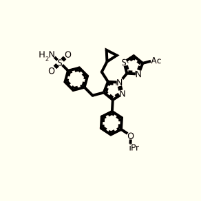 CC(=O)c1csc(-n2nc(-c3cccc(OC(C)C)c3)c(Cc3ccc(S(N)(=O)=O)cc3)c2CC2CC2)n1